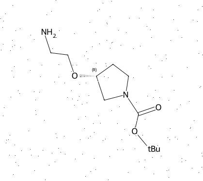 CC(C)(C)OC(=O)N1CC[C@@H](OCCN)C1